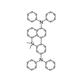 C[Si]1(C)c2cc(N(c3ccccc3)c3ccccc3)ccc2-c2ccc(N(c3ccccc3)c3ccccc3)c3cccc1c23